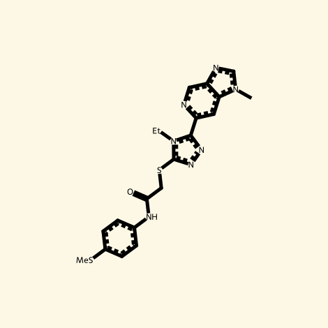 CCn1c(SCC(=O)Nc2ccc(SC)cc2)nnc1-c1cc2c(cn1)ncn2C